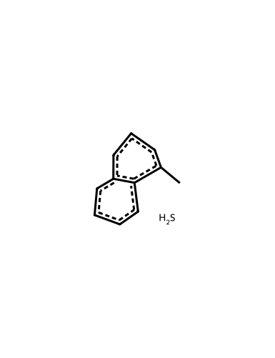 Cc1cccc2ccccc12.S